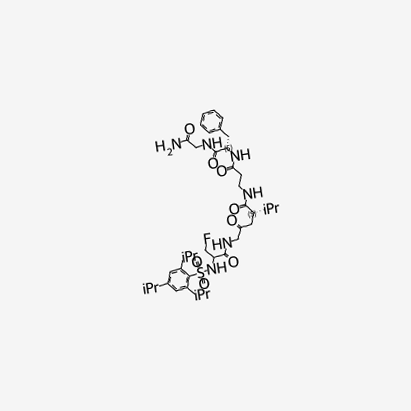 CC(C)c1cc(C(C)C)c(S(=O)(=O)NC(CF)C(=O)NCC(=O)C[C@H](C(=O)NCCC(=O)N[C@@H](Cc2ccccc2)C(=O)NCC(N)=O)C(C)C)c(C(C)C)c1